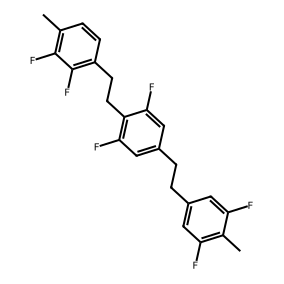 Cc1ccc(CCc2c(F)cc(CCc3cc(F)c(C)c(F)c3)cc2F)c(F)c1F